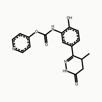 CC1CC(=O)NN=C1c1ccc(O)c(NC(=O)Oc2ccncc2)c1